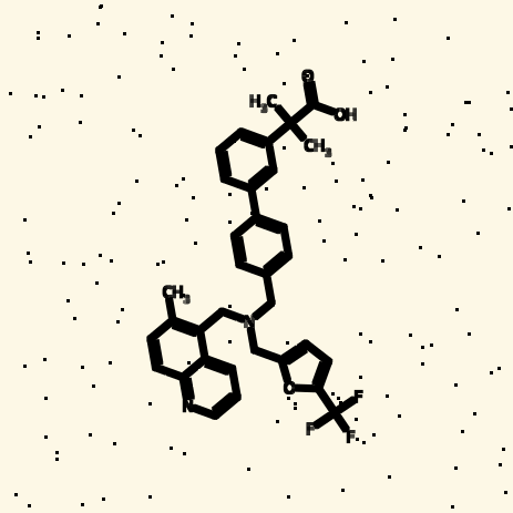 Cc1ccc2ncccc2c1CN(Cc1ccc(-c2cccc(C(C)(C)C(=O)O)c2)cc1)Cc1ccc(C(F)(F)F)o1